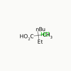 CCCCC(C)(CC)C(=O)O.Cl